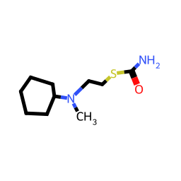 CN(CCSC(N)=O)C1CCCCC1